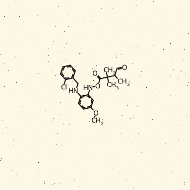 COc1ccc(NCc2ccccc2Cl)c(NOC(=O)C(C)(C)C(C)C=O)c1